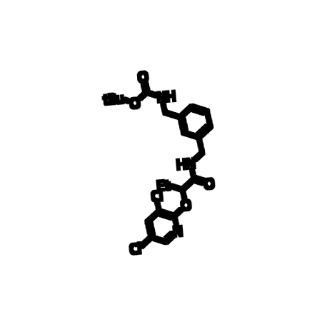 CCC(Oc1ncc(Cl)cc1Cl)C(=O)NCc1cccc(CNC(=O)OC(C)(C)C)c1